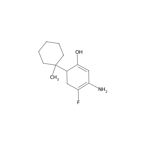 CC1(C2CC(F)=C(N)C=C2O)CCCCC1